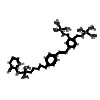 CC(C)(CCCCCc1ccc(C=Cc2ccc(CO[Si](C)(C)C(C)(C)C)c(CO[Si](C)(C)C(C)(C)C)c2)cc1)OC1OCCCC1=O